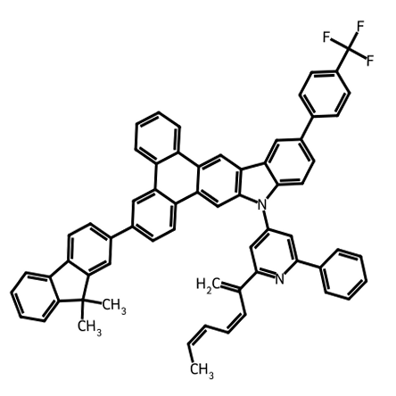 C=C(/C=C\C=C/C)c1cc(-n2c3ccc(-c4ccc(C(F)(F)F)cc4)cc3c3cc4c5ccccc5c5cc(-c6ccc7c(c6)C(C)(C)c6ccccc6-7)ccc5c4cc32)cc(-c2ccccc2)n1